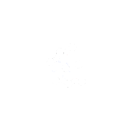 N#Cc1c(-n2c3ccccc3c3ccc4c5ccccc5oc4c32)nc(-c2ccccc2)nc1-n1c2ccccc2c2ccc3c4ccccc4oc3c21